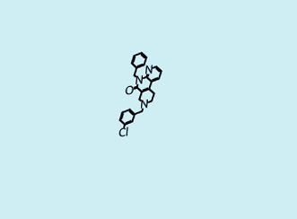 O=c1c2c(c3cccnc3n1Cc1ccccc1)CCN(Cc1cccc(Cl)c1)C2